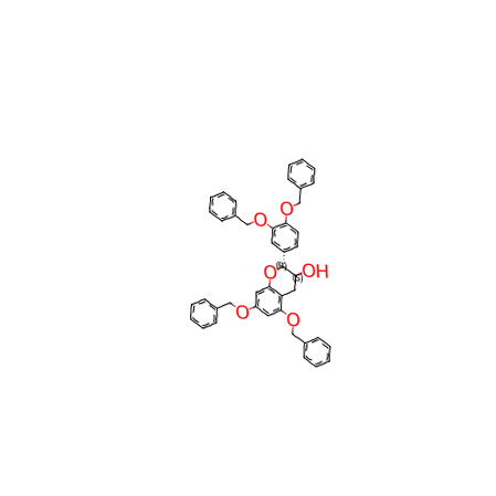 O[C@H]1Cc2c(OCc3ccccc3)cc(OCc3ccccc3)cc2O[C@@H]1c1ccc(OCc2ccccc2)c(OCc2ccccc2)c1